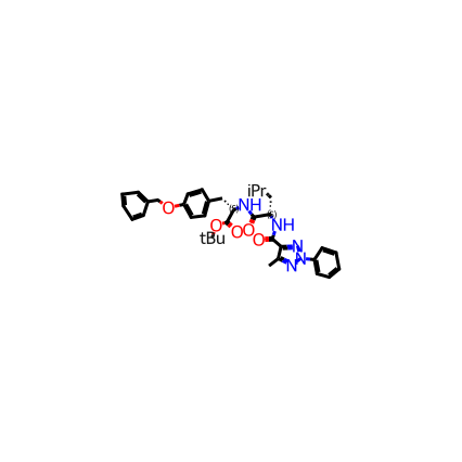 Cc1nn(-c2ccccc2)nc1C(=O)N[C@@H](CC(C)C)C(=O)N[C@@H](Cc1ccc(OCc2ccccc2)cc1)C(=O)OC(C)(C)C